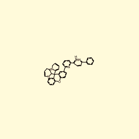 N=C(/C=C\C(=N)c1cccc(-c2ccc3c(c2)C(C2=CC=CCN2)(C2CCC=CN2)c2ccccc2O3)n1)c1ccccc1